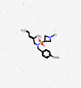 C=C/C=C(\C)CN(Cc1ccc(OC)cc1)S(=O)(=O)C1CN(CC)C1